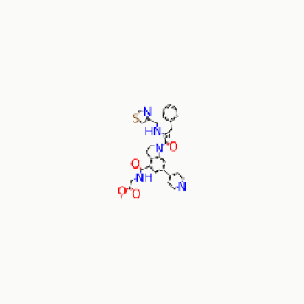 COC(=O)CNC(=O)c1cc(-c2ccncc2)cc2c1CCN2C(=O)[C@H](Cc1ccccc1)NCc1cscn1